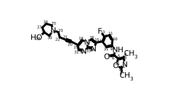 Cc1nc(C)c(C(=O)Nc2ccc(F)c(-c3cn4cc(C#CCCN5CCCC(O)C5)cnc4n3)c2)o1